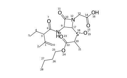 C=C(C)C(CC)C(=O)NC1C(=O)N(CC(=O)O)C1[S+]([O-])C(C)C(=O)OCCCC